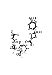 CO[C@@H]1[C@H](OC(=O)N2CC(O)(c3ccc(C(=O)O)nc3)C2)CC[C@]2(CO2)[C@H]1[C@@]1(C)O[C@@H]1CC=C(C)C